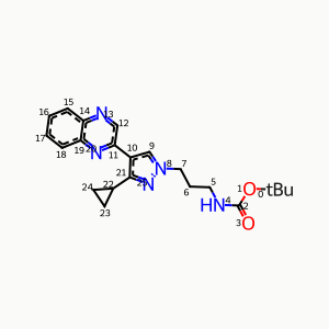 CC(C)(C)OC(=O)NCCCn1cc(-c2cnc3ccccc3n2)c(C2CC2)n1